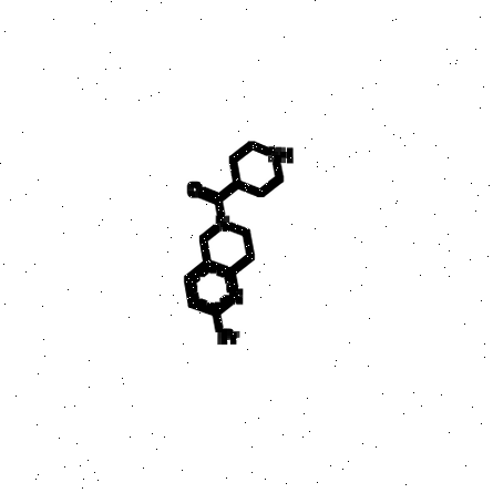 CC(C)c1ccc2c(n1)CCN(C(=O)C1CCNCC1)C2